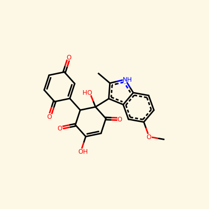 COc1ccc2[nH]c(C)c(C3(O)C(=O)C=C(O)C(=O)C3C3=CC(=O)C=CC3=O)c2c1